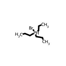 CCC[PH](Br)(CCC)CCC